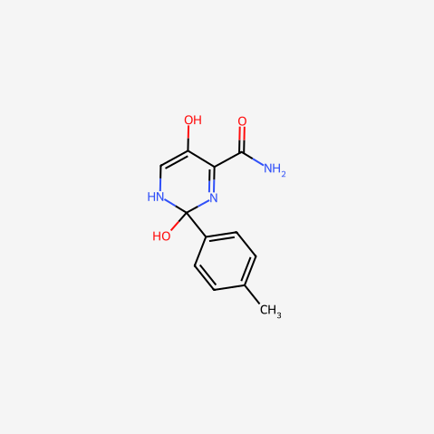 Cc1ccc(C2(O)N=C(C(N)=O)C(O)=CN2)cc1